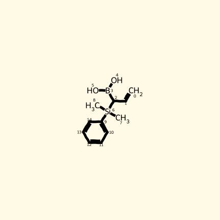 C=CC(B(O)O)[Si](C)(C)c1ccccc1